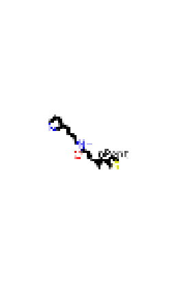 CCCCC[C@]1(c2ccsc2)C[C@H]1C=CC(=O)NCCCCc1cccnc1